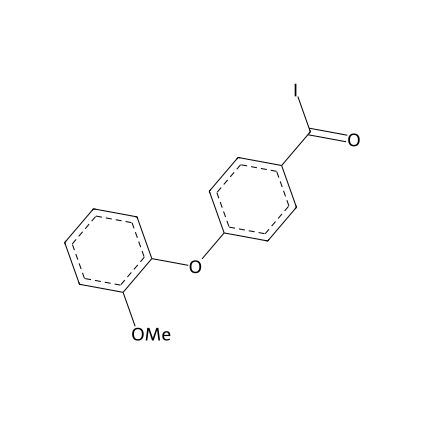 COc1ccccc1Oc1ccc(C(=O)I)cc1